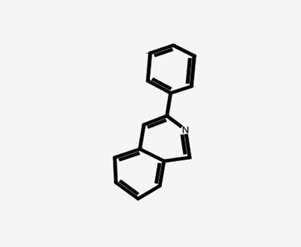 [c]1cccc(-c2cc3ccccc3cn2)c1